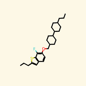 CCCc1cc2ccc(OCC3CCC(C4CCC(CCC)CC4)CC3)c(F)c2s1